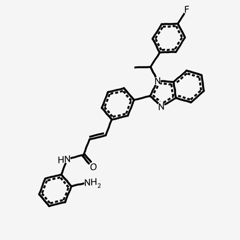 CC(c1ccc(F)cc1)n1c(-c2cccc(C=CC(=O)Nc3ccccc3N)c2)nc2ccccc21